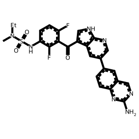 CCN(C)S(=O)(=O)Nc1ccc(F)c(C(=O)c2c[nH]c3ncc(-c4ccc5nc(N)ncc5c4)cc23)c1F